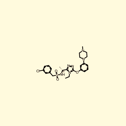 CCn1c(Oc2cccc(N3CCN(C)CC3)c2)nnc1[C@@H](C)NS(=O)(=O)Cc1cccc(Cl)c1